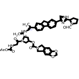 C=C(N/C=C(\C)c1ccc2c(c1)Cc1cc(-c3c[nH]c(C4CCCN4C=O)n3)ccc1-2)[C@@H]1CC(OC(=O)N2Cc3cc4c(cc3C2)OCO4)CN1C(=O)CNC(=O)OC